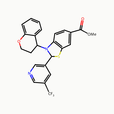 COC(=O)c1ccc2c(c1)SC(c1cncc(C(F)(F)F)c1)N2C1CCOc2ccccc21